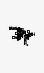 CSc1cccc(-n2c([C@@H]3[C@@H](C)CN3c3nc(N)nc4c3C(=O)NC4)nn3ccc(Cl)c3c2=O)c1